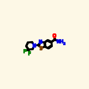 NC(=O)c1ccc2sc(N3CCCC(F)(F)C3)nc2c1